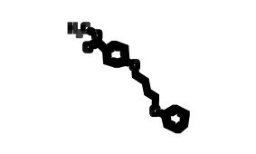 COC(=O)c1ccc(OCCCCOc2ccccc2)cc1